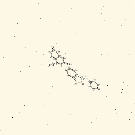 Oc1nc(Oc2ccc3c(c2)N(Cc2ccccc2)CC3)nc2cnccc12